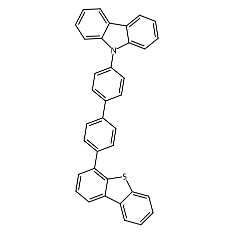 c1ccc2c(c1)sc1c(-c3ccc(-c4ccc(-n5c6ccccc6c6ccccc65)cc4)cc3)cccc12